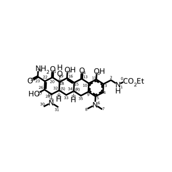 CCOC(=O)NCc1cc(N(C)C)c2c(c1O)C(=O)C1=C(O)[C@]3(O)C(=O)C(C(N)=O)=C(O)[C@@H](N(C)C)[C@@H]3C[C@@H]1C2